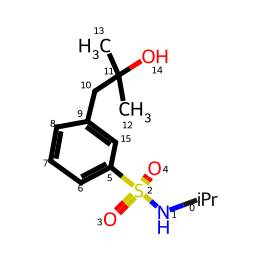 CC(C)NS(=O)(=O)c1cccc(CC(C)(C)O)c1